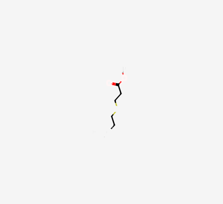 CCC(C)OC(=O)CCSCCC(=O)O